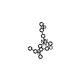 c1ccc(-c2ccc3c(c2)c2ccc(-c4ccc5oc6cccc(-c7nc(-c8ccccc8)nc(-c8ccc(-c9ccc%10c(c9)oc9ccccc9%10)cc8)n7)c6c5c4)cc2n3-c2ccccc2)cc1